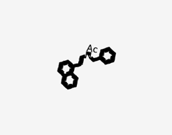 CC(=O)N(C=Cc1cccc2ccccc12)Cc1ccccc1